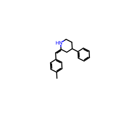 Cc1ccc(C=C2CC(c3ccccc3)CCN2)cc1